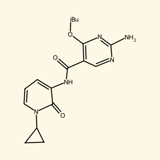 CCC(C)Oc1nc(N)ncc1C(=O)Nc1cccn(C2CC2)c1=O